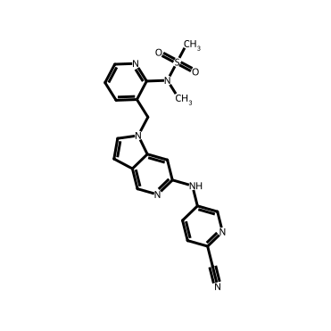 CN(c1ncccc1Cn1ccc2cnc(Nc3ccc(C#N)nc3)cc21)S(C)(=O)=O